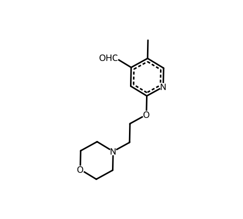 Cc1cnc(OCCN2CCOCC2)cc1C=O